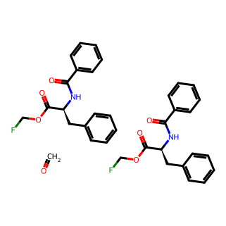 C=O.O=C(N[C@@H](Cc1ccccc1)C(=O)OCF)c1ccccc1.O=C(N[C@@H](Cc1ccccc1)C(=O)OCF)c1ccccc1